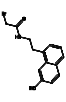 O=C(CBr)NCCc1cccc2ccc(O)cc12